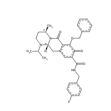 CC(C)N1CC[C@@H](C)N2C(=O)c3c(OCc4ccccc4)c(=O)c(C(=O)NCc4ccc(F)cc4)cn3C[C@H]12